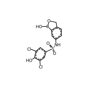 O=S(=O)(Nc1ccc2c(c1)B(O)OC2)c1cc(Cl)c(O)c(Cl)c1